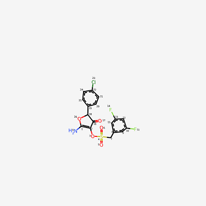 NC1=C(OS(=O)(=O)Cc2cc(F)cc(F)c2)C(=O)C(c2ccc(Cl)cc2)O1